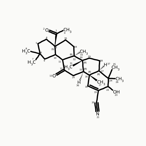 CC(=O)[C@]12CCC(C)(C)CC1C1C(=O)C[C@@H]3[C@@]4(C)C=C(C#N)C(O)C(C)(C)[C@@H]4CC[C@@]3(C)[C@]1(C)CC2